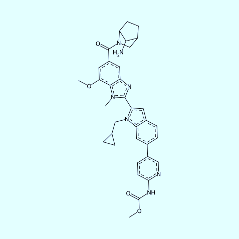 COC(=O)Nc1ccc(-c2ccc3cc(-c4nc5cc(C(=O)N6CC7CCC6C7N)cc(OC)c5n4C)n(CC4CC4)c3c2)cn1